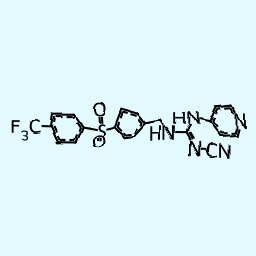 N#CN=C(NCc1ccc(S(=O)(=O)c2ccc(C(F)(F)F)cc2)cc1)Nc1ccncc1